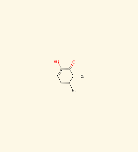 CCC1=CC=C(O)C(=O)C1CC